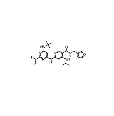 CC(C)Nc1cc(Nc2cc(NC(C)(C)C)nc(C(F)F)n2)ncc1C(=O)NCc1cocn1